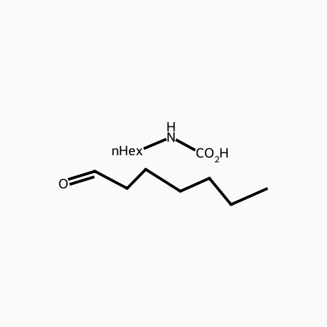 CCCCCCC=O.CCCCCCNC(=O)O